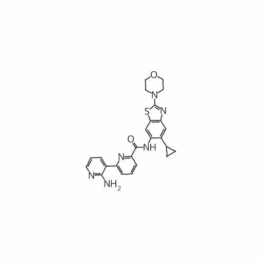 Nc1ncccc1-c1cccc(C(=O)Nc2cc3sc(N4CCOCC4)nc3cc2C2CC2)n1